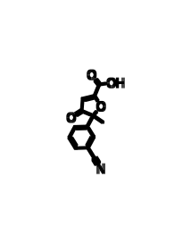 CC1(c2cccc(C#N)c2)OC(C(=O)O)=CC1=O